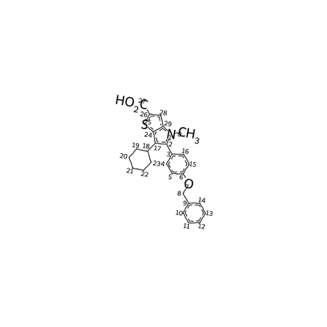 Cn1c(-c2ccc(OCc3ccccc3)cc2)c(C2CCCCC2)c2sc(C(=O)O)cc21